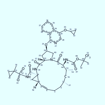 C[C@@H]1CCC=C[C@@H]2C[C@@]2(C(=O)NS(=O)(=O)C2(C)CC2)NC(=O)[C@@H]2C[C@@H](Oc3ncc(OC4CC4)c4ccccc34)CN2C(=O)[C@@H](NC(=O)OC(C)(C)C(F)(F)F)[C@H](C)C1